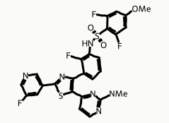 CNc1nccc(-c2sc(-c3cncc(F)c3)nc2-c2cccc(NS(=O)(=O)c3c(F)cc(OC)cc3F)c2F)n1